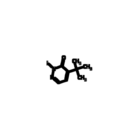 CC(C)(C)c1ccnn(I)c1=O